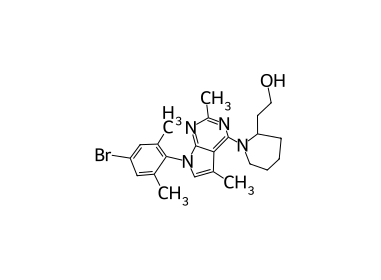 Cc1nc(N2CCCCC2CCO)c2c(C)cn(-c3c(C)cc(Br)cc3C)c2n1